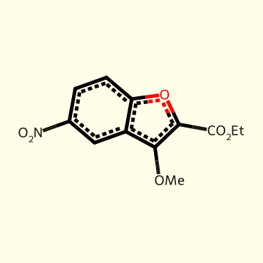 CCOC(=O)c1oc2ccc([N+](=O)[O-])cc2c1OC